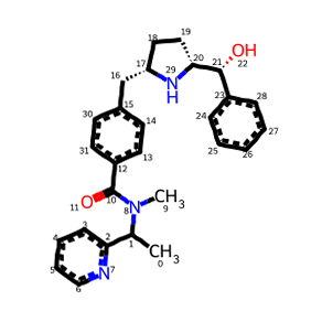 CC(c1ccccn1)N(C)C(=O)c1ccc(C[C@@H]2CC[C@H]([C@H](O)c3ccccc3)N2)cc1